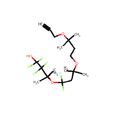 C#CCOC(C)(C)CCOC(C)(C)CC(F)(F)OC(C)(C)C(F)(F)C(O)(F)F